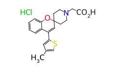 Cc1csc(C2=CC3(CCN(CC(=O)O)CC3)Oc3ccccc32)c1.Cl